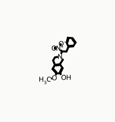 COc1cc2c(cc1O)CN(C(Cc1ccccc1)[N+](=O)[O-])CC2